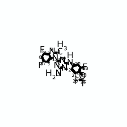 Cc1nc2c(F)cc(F)cc2n1-c1nc(N)nc(Nc2ccc(OC(F)F)c(F)c2)n1